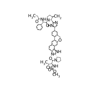 C=C1CCN(C(=O)[C@H](NC(=O)CC)c2ccccc2)[C@@H]1c1ncc(-c2ccc3c(c2)COc2cc4c(ccc5nc([C@@H]6CCCN6C(=O)[C@@H](NC(=O)OC)C(C)C)[nH]c54)cc2-3)[nH]1